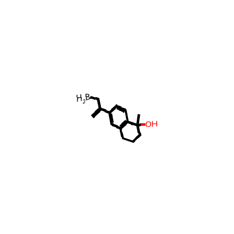 BCC(=C)c1ccc2c(c1)CCCC2(C)O